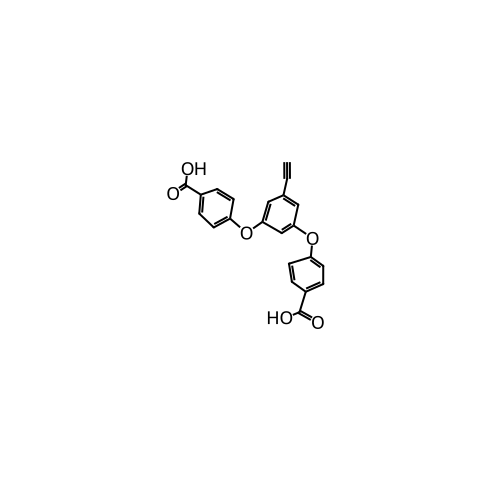 C#Cc1cc(Oc2ccc(C(=O)O)cc2)cc(Oc2ccc(C(=O)O)cc2)c1